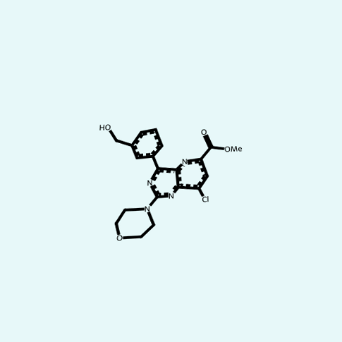 COC(=O)c1cc(Cl)c2nc(N3CCOCC3)nc(-c3cccc(CO)c3)c2n1